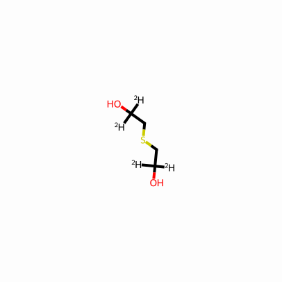 [2H]C([2H])(O)CSCC([2H])([2H])O